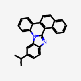 CC(C)c1ccc2nc3c4c5ccccc5ccc4c4ccccc4n3c2c1